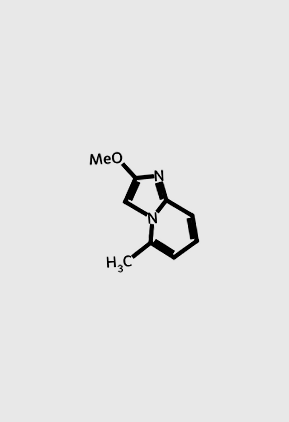 COc1cn2c(C)cccc2n1